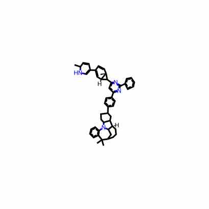 CC1C=CC(C2=C[C@H]3C(c4cc(-c5ccc(C6CCC7C(C6)[C@H]6CCCC8CC6N7c6ccccc6C8(C)C)cc5)nc(-c5ccccc5)n4)[C@@]3(C)C=C2)=CN1